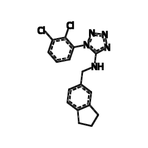 Clc1cccc(-n2nnnc2NCc2ccc3c(c2)CCC3)c1Cl